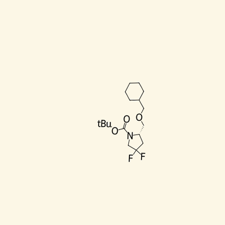 CC(C)(C)OC(=O)N1CC(F)(F)C[C@H]1COCC1CCCCC1